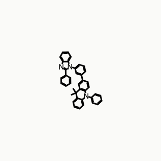 CC1(C)c2ccccc2N(c2ccccc2)c2ccc(-c3cccc(-n4c(-c5ccccc5)nc5ccccc54)c3)cc21